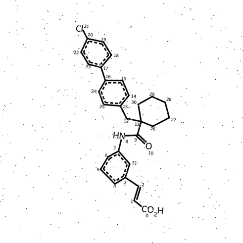 O=C(O)/C=C/c1cccc(NC(=O)C2(Cc3ccc(-c4ccc(Cl)cc4)cc3)CCCCC2)c1